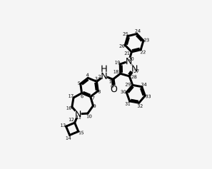 O=C(Nc1ccc2c(c1)CCN(C1CCC1)CC2)c1cn(-c2ccccc2)nc1-c1ccccc1